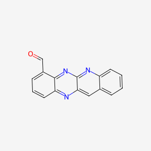 O=Cc1cccc2nc3cc4ccccc4nc3nc12